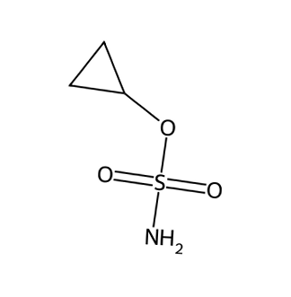 NS(=O)(=O)OC1CC1